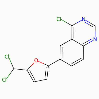 Clc1ncnc2ccc(-c3ccc(C(Cl)Cl)o3)cc12